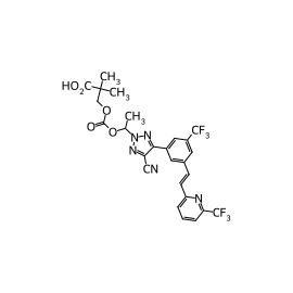 CC(OC(=O)OCC(C)(C)C(=O)O)n1nc(C#N)c(-c2cc(C=Cc3cccc(C(F)(F)F)n3)cc(C(F)(F)F)c2)n1